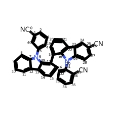 N#Cc1cccc(-n2c3ccccc3c3cccc(-c4cc#cc5c6cc(C#N)ccc6n(-c6ccccc6C#N)c45)c32)c1